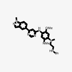 CNc1cc(Nc2cc(-c3ccc4c(cnn4C)c3)ncn2)c(OC)cc1N(C)CCNC(C)C